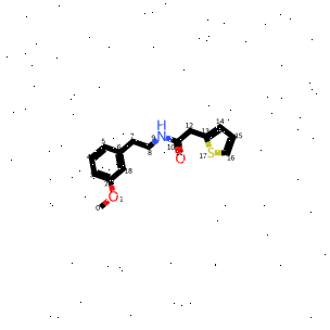 COc1cccc(CCNC(=O)Cc2cccs2)c1